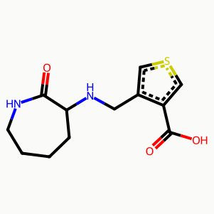 O=C(O)c1cscc1CNC1CCCCNC1=O